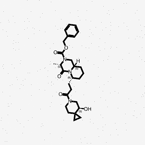 C[C@H]1C(=O)N2[C@@H](CCC(=O)N3CCC4(CC4)[C@H](O)C3)CCC[C@H]2CN1C(=O)OCc1ccccc1